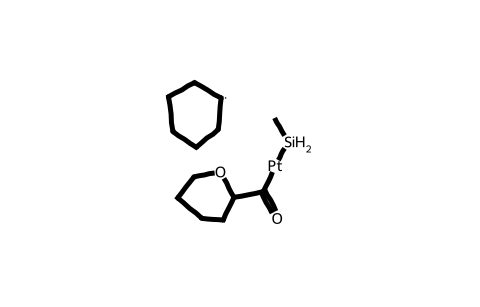 C[SiH2][Pt][C](=O)C1CCCCO1.[CH]1CCCCC1